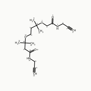 C#CCNC(=O)COC(C)(C)CCOC(C)(C)CC(=O)NCC#C